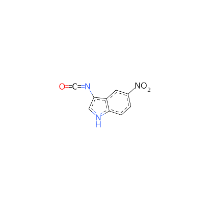 O=C=Nc1c[nH]c2ccc([N+](=O)[O-])cc12